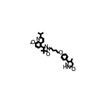 COc1ccc(C2=NN(CCCCOc3ccc(C4=NNC(=O)CC4C)cc3)C(=O)C2(C)C)c2ccc(C(C)C)nc12